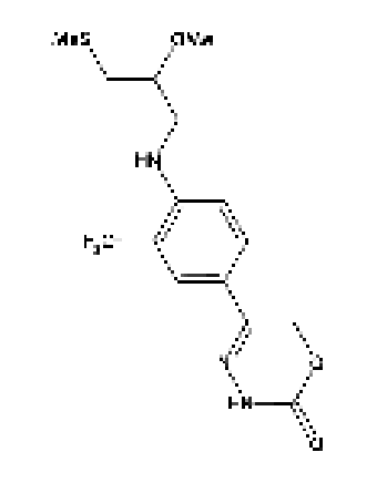 COC(CNc1ccc(C2=NNC(=O)OC2)cc1C(F)(F)F)CSC